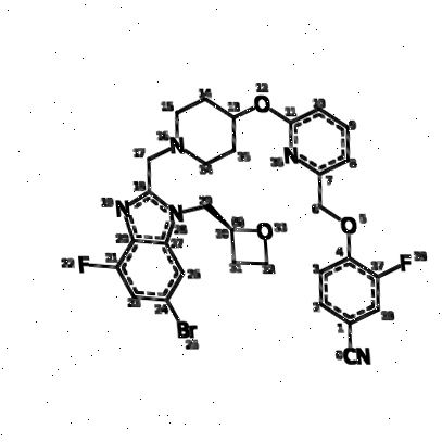 N#Cc1ccc(OCc2cccc(OC3CCN(Cc4nc5c(F)cc(Br)cc5n4C[C@@H]4CCO4)CC3)n2)c(F)c1